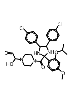 COc1ccc(C2(C(=O)N3CCN(C(O)C=O)CC3)NC(c3ccc(Cl)cc3)C(c3ccc(Cl)cc3)N2)c(OC(C)C)c1